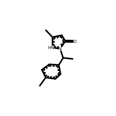 Cc1ccc(C(C)n2[nH]c(C)cc2=O)cc1